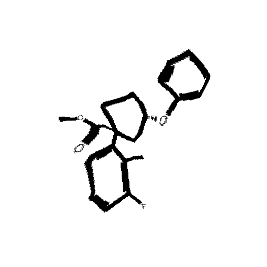 COC(=O)[C@@]1(c2cccc(F)c2C)CC[C@H](Oc2ccccc2)C1